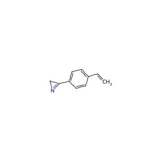 C=Cc1ccc(C2=NC2)cc1